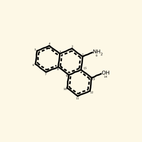 Nc1cc2ccccc2c2cccc(O)c12